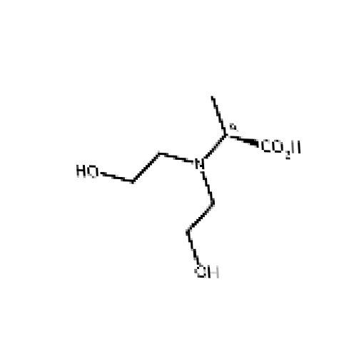 C[C@@H](C(=O)O)N(CCO)CCO